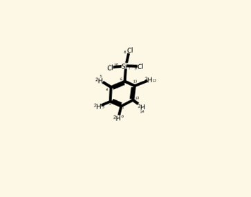 [2H]c1c([2H])c([2H])c([Si](Cl)(Cl)Cl)c([2H])c1[2H]